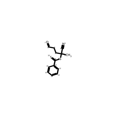 CC(C#N)(CCC=O)SC(=S)c1ccccc1